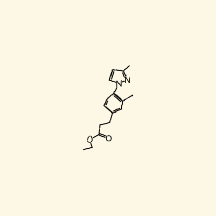 CCOC(=O)CCc1ccc(-n2ccc(C)n2)c(C)c1